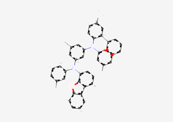 Cc1cc(N(c2cccc(C(C)(C)C)c2)c2ccc(C(C)(C)C)cc2-c2ccccc2)cc(N(c2cccc(Cl)c2)c2cccc3c2oc2ccccc23)c1